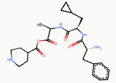 CCCCC(NC(=O)[C@@H](CC1CC1)NC(=O)[C@H](N)Cc1ccccc1)C(=O)OC(=O)C1CCNCC1